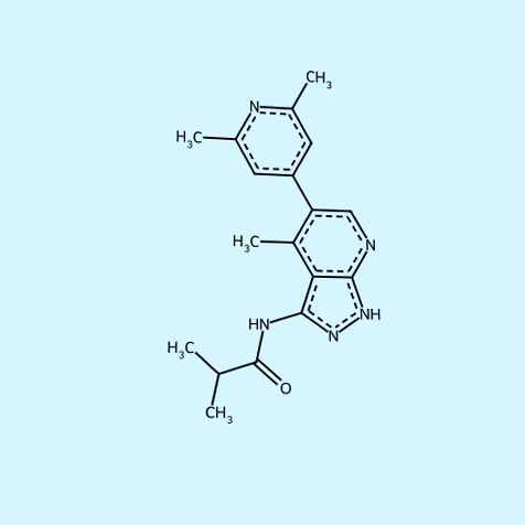 Cc1cc(-c2cnc3[nH]nc(NC(=O)C(C)C)c3c2C)cc(C)n1